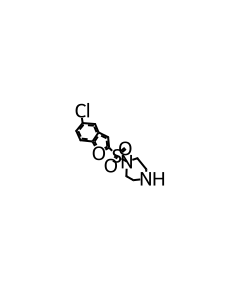 O=S(=O)(c1cc2cc(Cl)ccc2o1)N1CCNCC1